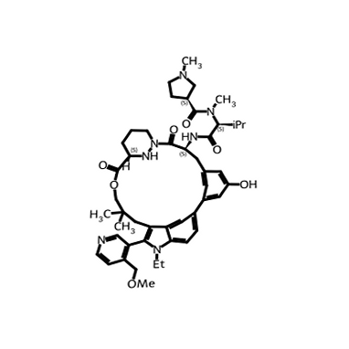 CCn1c(-c2cnccc2COC)c2c3cc(ccc31)-c1cc(O)cc(c1)C[C@H](NC(=O)[C@H](C(C)C)N(C)C(=O)[C@H]1CCN(C)C1)C(=O)N1CCC[C@H](N1)C(=O)OCC(C)(C)C2